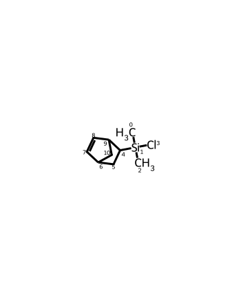 C[Si](C)(Cl)C1CC2C=CC1C2